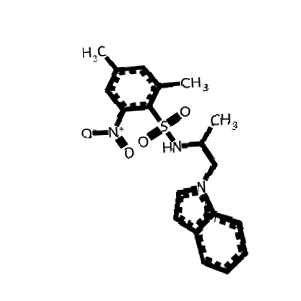 Cc1cc(C)c(S(=O)(=O)NC(C)Cn2ccc3ccccc32)c([N+](=O)[O-])c1